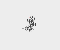 C=CCn1c(=O)n(CC(C)O)c(=O)n(CC(O)CN2C(=O)N(CC)C(=O)C(CC)(c3ccccc3)C2=O)c1=O